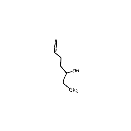 C=CCCC(O)COC(C)=O